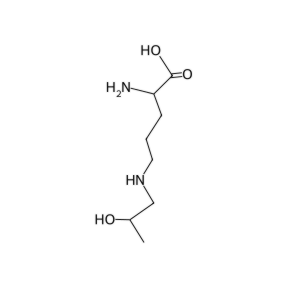 CC(O)CNCCCC(N)C(=O)O